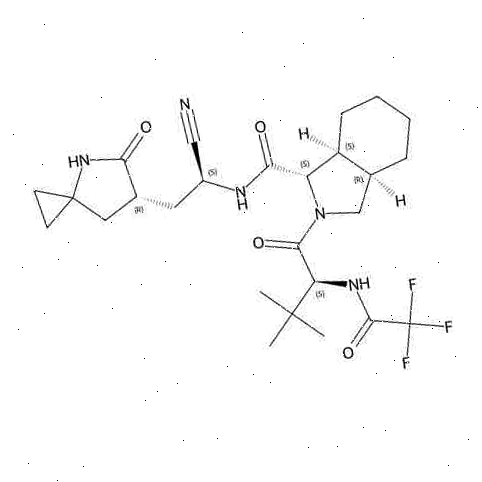 CC(C)(C)[C@H](NC(=O)C(F)(F)F)C(=O)N1C[C@@H]2CCCC[C@@H]2[C@H]1C(=O)N[C@H](C#N)C[C@@H]1CC2(CC2)NC1=O